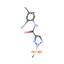 Cc1ccc(NC(=O)c2cnn(S(C)(=O)=O)n2)c(Cl)c1